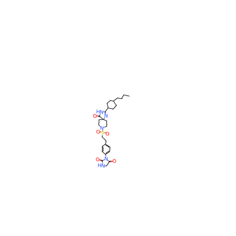 CCCCC1CCC(C2=NC3(CCN(S(=O)(=O)CCc4ccc(N5C(=O)CNC5=O)cc4)CC3)C(=O)N2)CC1